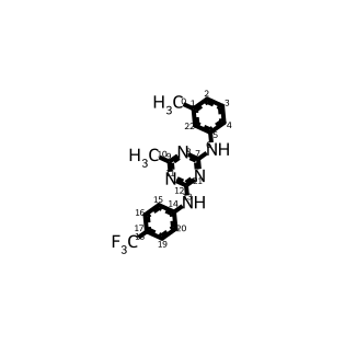 Cc1cccc(Nc2nc(C)nc(Nc3ccc(C(F)(F)F)cc3)n2)c1